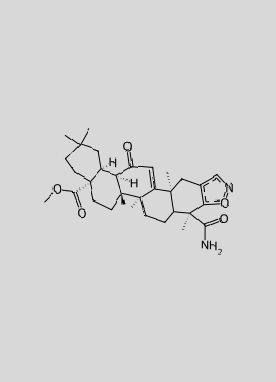 COC(=O)[C@]12CCC(C)(C)C[C@H]1[C@H]1C(=O)C=C3[C@@]4(C)Cc5cnoc5[C@@](C)(C(N)=O)C4CC[C@@]3(C)[C@]1(C)CC2